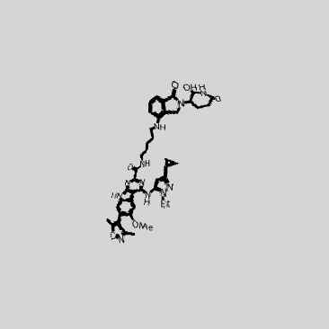 CCn1nc(C2CC2)cc1Nc1nc(C(=O)NCCCCCNc2cccc3c2CN(C2CCC(=O)NC2O)C3=O)nc2[nH]c3cc(-c4c(C)noc4C)c(OC)cc3c12